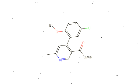 CCOc1ccc(Cl)cc1-c1cc(C)ncc1C(=O)OC